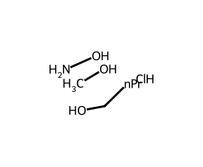 CCCCO.CO.Cl.NO